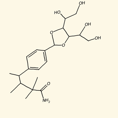 CC(c1ccc(C2OC(C(O)CO)C(C(O)CO)O2)cc1)C(C)C(C)(C)C(N)=O